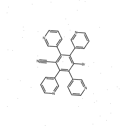 N#Cc1c(-c2cccnc2)c(-c2cccnc2)c(Br)c(-c2cccnc2)c1-c1cccnc1